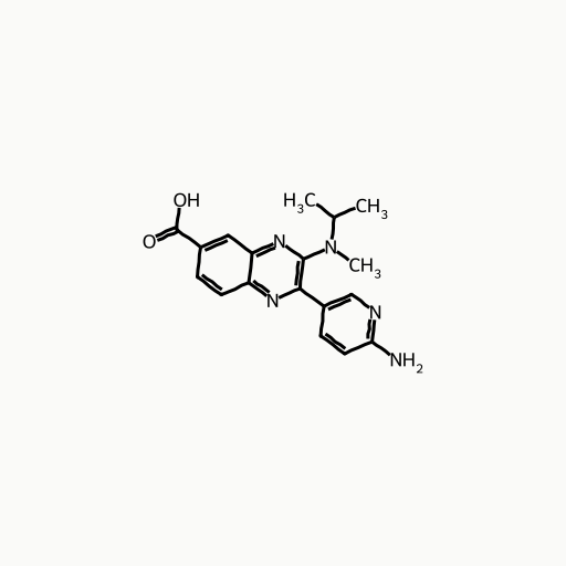 CC(C)N(C)c1nc2cc(C(=O)O)ccc2nc1-c1ccc(N)nc1